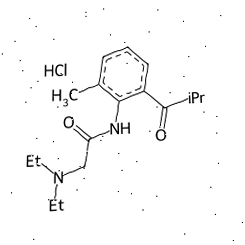 CCN(CC)CC(=O)Nc1c(C)cccc1C(=O)C(C)C.Cl